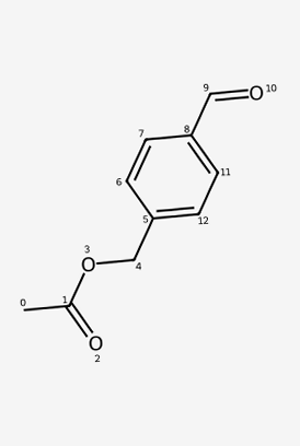 CC(=O)OCc1ccc(C=O)cc1